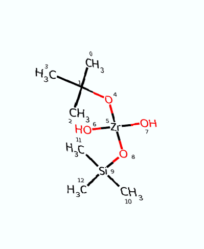 CC(C)(C)[O][Zr]([OH])([OH])[O][Si](C)(C)C